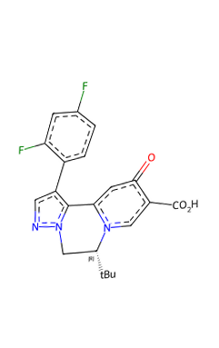 CC(C)(C)[C@@H]1Cn2ncc(-c3ccc(F)cc3F)c2-c2cc(=O)c(C(=O)O)cn21